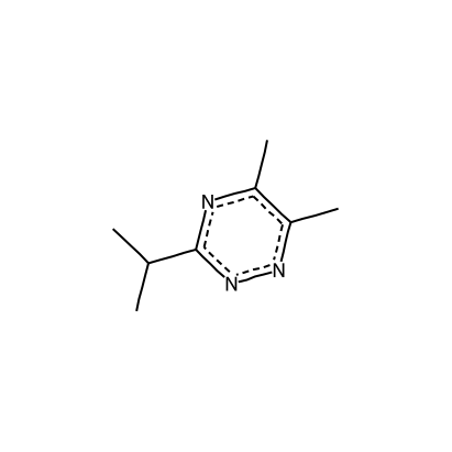 Cc1nnc(C(C)C)nc1C